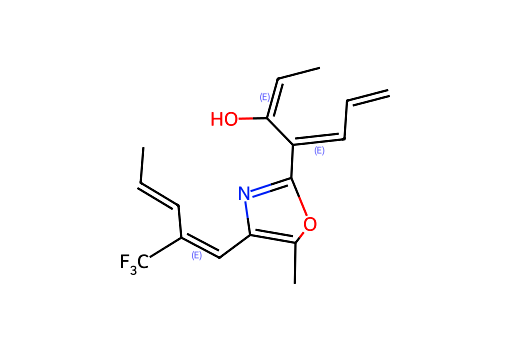 C=C/C=C(\C(O)=C/C)c1nc(/C=C(\C=CC)C(F)(F)F)c(C)o1